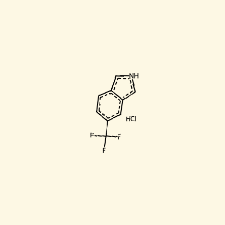 Cl.FC(F)(F)c1ccc2c[nH]cc2c1